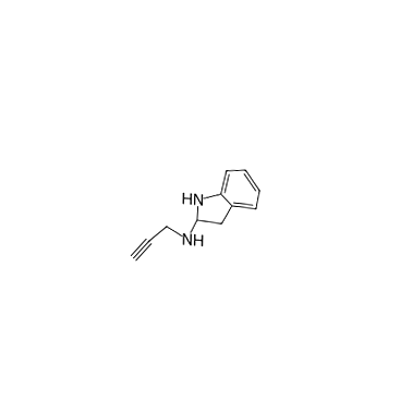 C#CCNC1Cc2ccccc2N1